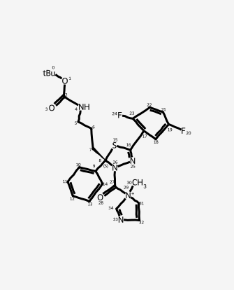 CC(C)(C)OC(=O)NCCC[C@@]1(c2ccccc2)SC(c2cc(F)ccc2F)=NN1C(=O)[N+]1(C)C=CN=C1